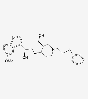 COc1ccc2nccc([C@H](O)CC[C@@H]3CCN(CCSc4ccccc4)C[C@@H]3CO)c2c1